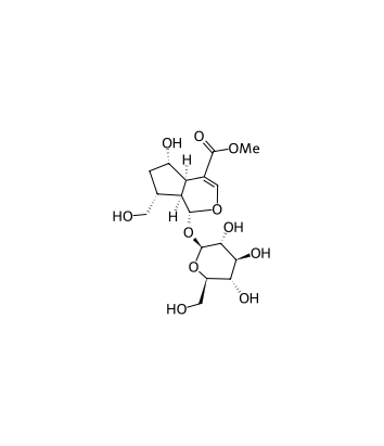 COC(=O)C1=CO[C@H](O[C@@H]2O[C@H](CO)[C@@H](O)[C@H](O)[C@H]2O)[C@H]2[C@H](CO)C[C@H](O)[C@@H]12